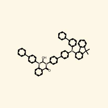 CC1(C)c2ccccc2-c2c(N(c3ccc(-c4ccc(N5C(=O)c6ccccc6N(c6ccc(-c7ccccc7)cc6)C5O)cc4)cc3)c3cccc(-c4ccccc4)c3)cccc21